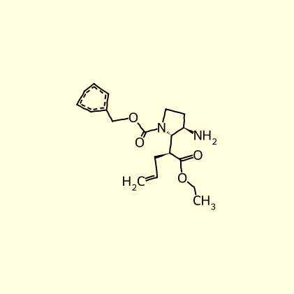 C=CC[C@H](C(=O)OCC)[C@H]1[C@H](N)CCN1C(=O)OCc1ccccc1